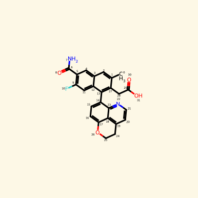 Cc1cc2cc(C(N)=O)c(F)cc2c(-c2ccc3c4c(ccnc24)CCO3)c1CC(=O)O